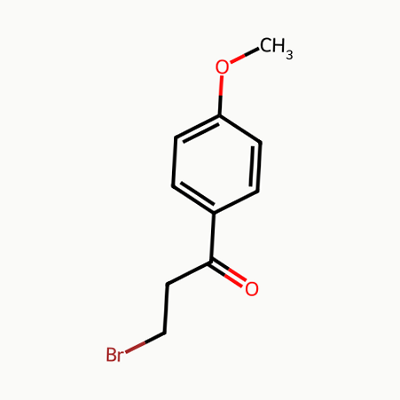 COc1ccc(C(=O)CCBr)cc1